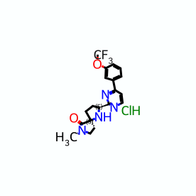 CN1CC[C@@]2(CC[C@@H](c3nccc(-c4cccc(OC(F)(F)F)c4)n3)N2)C1=O.Cl